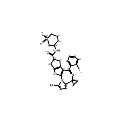 Cc1nnc2n1-c1sc3c(c1C(c1ccccc1Cl)=NC21CC1)C[C@H](C(=O)NC1CCCS(=O)(=O)C1)C3